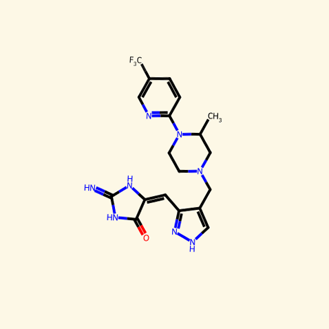 CC1CN(Cc2c[nH]nc2/C=C2/NC(=N)NC2=O)CCN1c1ccc(C(F)(F)F)cn1